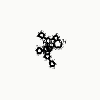 Cc1c(-c2ccc3c(c2)c2cc(-c4ccccc4)ccc2n3-c2ccccc2)cccc[nH]c2cccc(-c3cc(-c4ccccc4)nc(-c4ccccc4)n3)c12